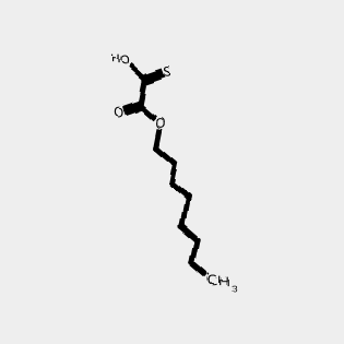 CCCCCCCCOC(=O)C(O)=S